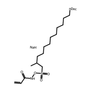 C=CC(=O)NOS(=O)(=O)CC(C)CCCCCCCCCCCCCCCCCCCC.[NaH]